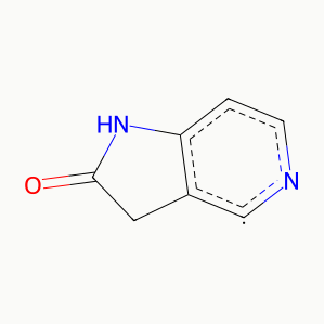 O=C1Cc2[c]nccc2N1